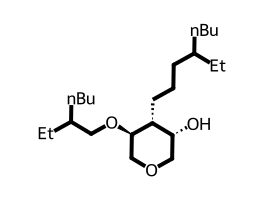 CCCCC(CC)CCC[C@@H]1[C@H](O)COC[C@H]1OCC(CC)CCCC